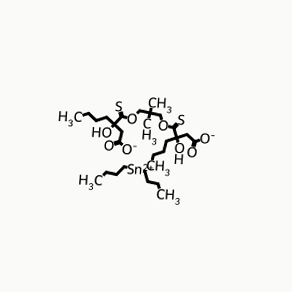 CCCCC(O)(CC(=O)[O-])C(=S)OCC(C)(C)COC(=S)C(O)(CCCC)CC(=O)[O-].CCC[CH2][Sn+2][CH2]CCC